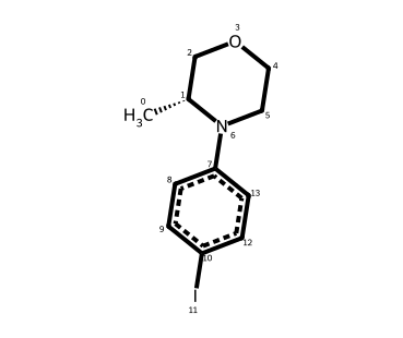 C[C@@H]1COCCN1c1ccc(I)cc1